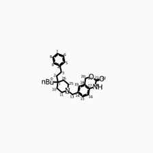 CCCCC1(CCc2ccccc2)CCN(Cc2ccc3c(c2)COC(=O)N3)CC1